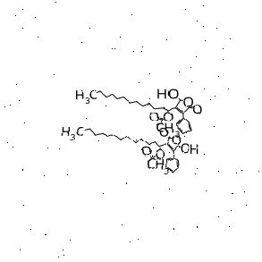 CCCCCCCCCCCCC(OC(C)=O)C1=C(c2ccccc2)C(=O)OC1O.CCCCCCCCCCCCC(OC(C)=O)C1=C(c2ccccc2)C(O)OC1=O